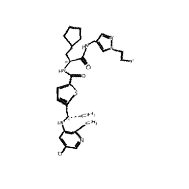 Cc1ncc(Cl)cc1N[C@@H](C)c1ccc(C(=O)N[C@@H](CC2CCCC2)C(=O)Nc2cnn(CCF)c2)s1